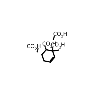 CC(=O)O.CC(=O)O.CC1(C(=O)O)C=CCCC1C(=O)O